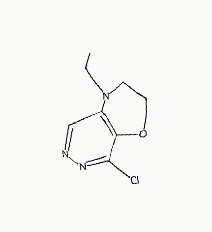 CCN1CCOc2c1cnnc2Cl